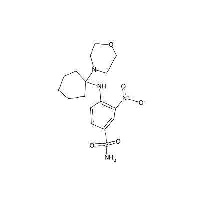 NS(=O)(=O)c1ccc(NC2(N3CCOCC3)CCCCC2)c([N+](=O)[O-])c1